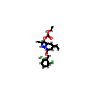 CCOC(=O)Oc1c(C)nn2c(OCc3c(F)cccc3F)cc(CC)cc12